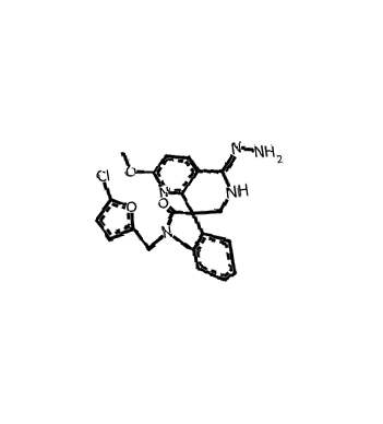 COc1ccc2c(n1)C1(CN/C2=N\N)C(=O)N(Cc2ccc(Cl)o2)c2ccccc21